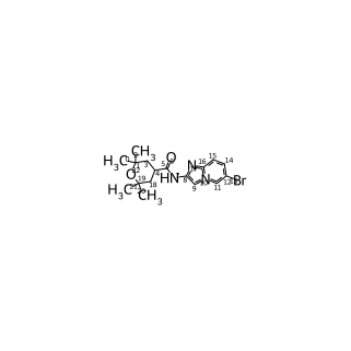 CC1(C)CC(C(=O)Nc2cn3cc(Br)ccc3n2)CC(C)(C)O1